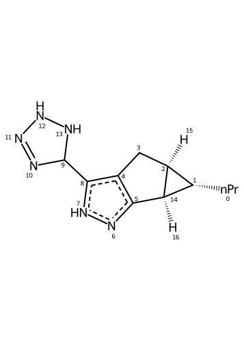 CCC[C@H]1[C@@H]2Cc3c(n[nH]c3C3N=NNN3)[C@H]12